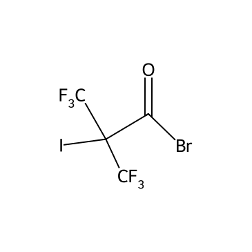 O=C(Br)C(I)(C(F)(F)F)C(F)(F)F